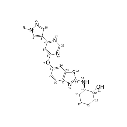 Cn1cc(-c2cc(Oc3ccc4nc(N[C@@H]5CCCC[C@H]5O)sc4c3)ncn2)cn1